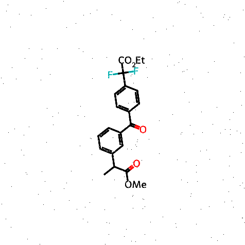 CCOC(=O)C(F)(F)c1ccc(C(=O)c2cccc(C(C)C(=O)OC)c2)cc1